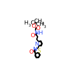 CC(C)(C)OC(=O)CNC(=O)CCc1cccc(-c2nc(=O)c3ccccc3s2)n1